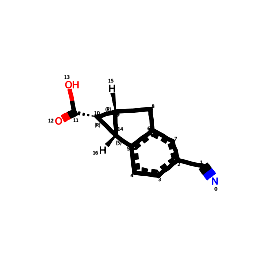 N#Cc1ccc2c(c1)C[C@H]1[C@@H](C(=O)O)[C@@H]21